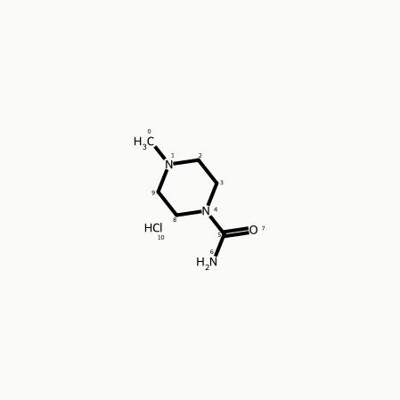 CN1CCN(C(N)=O)CC1.Cl